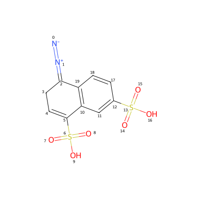 [N-]=[N+]=C1CC=C(S(=O)(=O)O)c2cc(S(=O)(=O)O)ccc21